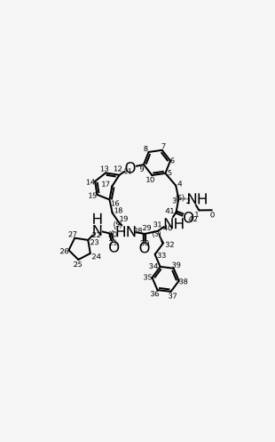 CCN[C@H]1Cc2cccc(c2)Oc2cccc(c2)C[C@@H](C(=O)NC2CCCC2)NC(=O)[C@H](CCc2ccccc2)NC1=O